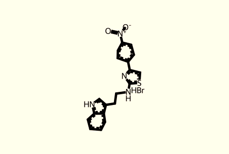 Br.O=[N+]([O-])c1ccc(-c2csc(NCCc3c[nH]c4ccccc34)n2)cc1